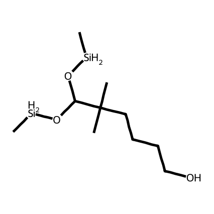 C[SiH2]OC(O[SiH2]C)C(C)(C)CCCCO